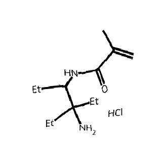 C=C(C)C(=O)NC(CC)C(N)(CC)CC.Cl